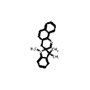 CN1c2ccccc2C(C)(C)C12C=Nc1c(ccc3ccccc13)C2